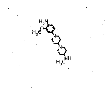 CNC1CCN(C2CCN(c3ccc(N)c(OC)c3)CC2)CC1